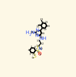 CSc1ccccc1/[SH](=O)=N\CCCNc1cc(-c2cccc(C)c2C)nc(N)n1